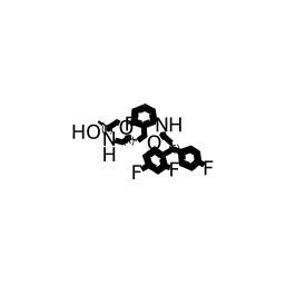 O=C(C[C@@H](c1ccc(F)cc1)c1ccc(F)cc1F)Nc1cccc(F)c1CC[C@@H]1CN[C@H](CO)CO1